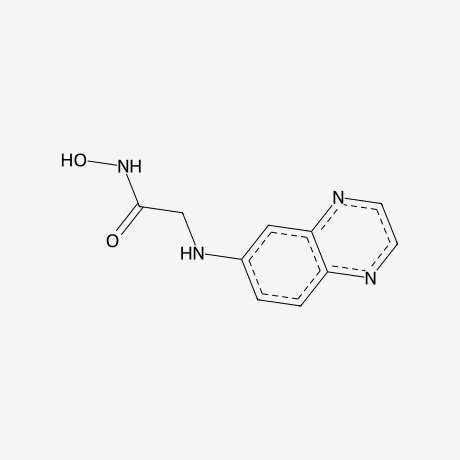 O=C(CNc1ccc2nccnc2c1)NO